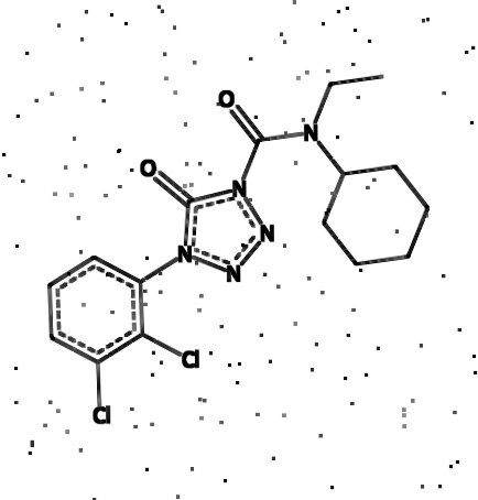 CCN(C(=O)n1nnn(-c2cccc(Cl)c2Cl)c1=O)C1CCCCC1